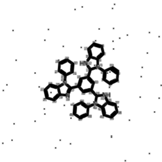 c1cccc(N2c3ccccc3NC2c2cc(-c3nc4ccccc4n3-c3ccccc3)cc(C3Nc4ccccc4N3c3ccccc3)c2)c#1